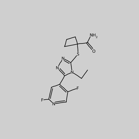 CCn1c(SC2(C(N)=O)CCC2)nnc1-c1cc(F)ncc1F